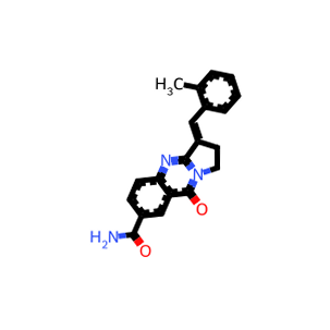 Cc1ccccc1/C=C1\CCn2c1nc1ccc(C(N)=O)cc1c2=O